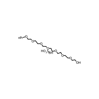 CCCOCCOCCOCCOCCOCCOCCOCCO.O=S(=O)(O)O